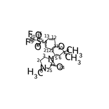 CN1CCN(C2=CC(C)(C)Oc3ccc(S(=O)(=O)C(F)F)cc32)C(=O)C1